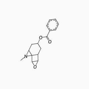 CN1C2CC(OC(=O)c3ccccc3)CC3C4OC4C321